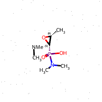 CNC.C[C@H]1O[C@H]1P(=O)(O)N(C)C